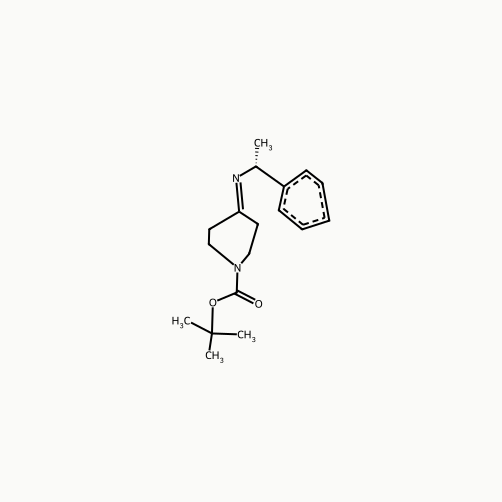 C[C@@H](N=C1CCN(C(=O)OC(C)(C)C)CC1)c1ccccc1